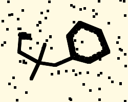 CC(C)(C)CC(C)(C)Cc1ccccc1